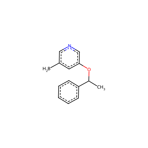 Bc1cncc(OC(C)c2ccccc2)c1